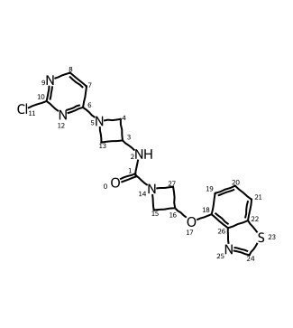 O=C(NC1CN(c2ccnc(Cl)n2)C1)N1CC(Oc2cccc3scnc23)C1